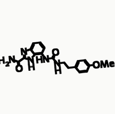 COc1ccc(CCNC(=O)Nc2cccc3nc(C(N)=O)[nH]c23)cc1